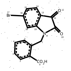 O=C(O)c1ccccc1CN1C(=O)C(=O)c2ccc(Br)cc21